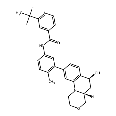 Cc1ccc(NC(=O)c2ccnc(C(C)(F)F)c2)cc1-c1ccc2c(c1)N1CCOC[C@H]1C[C@@H]2O